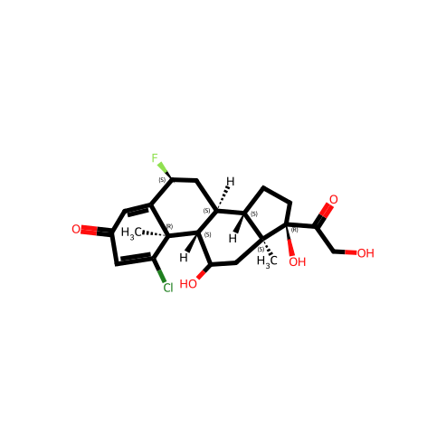 C[C@]12C(Cl)=CC(=O)C=C1[C@@H](F)C[C@@H]1[C@@H]2C(O)C[C@@]2(C)[C@H]1CC[C@]2(O)C(=O)CO